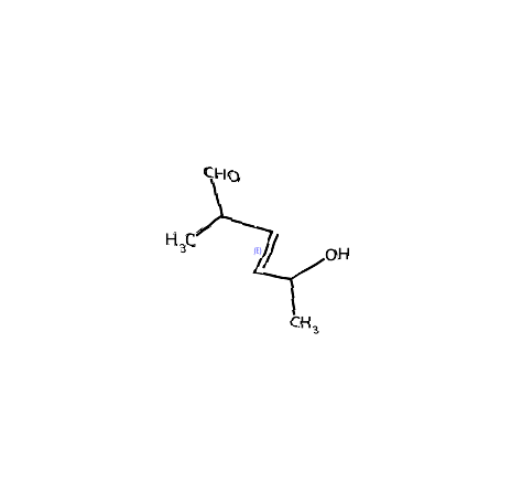 CC(O)/C=C/C(C)C=O